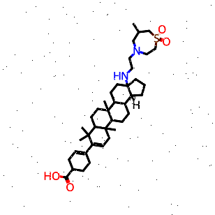 CC1CN(CCNC23CCC[C@@H]2C2CCC4C(C)(CCC5C(C)(C)C(C6=CCC(C(=O)O)CC6)=CCC54C)C2CC3)CCS(=O)(=O)C1